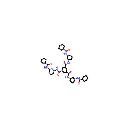 O=C(NC1=CC=CC(NC(=O)c2cc(C(=O)Nc3cccc(NC(=O)c4ccccc4)c3)cc(C(=O)Nc3cccc(NC(=O)c4ccccc4)c3)c2)C1)c1ccccc1